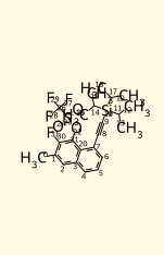 Cc1cc2cccc(C#C[Si](C(C)C)(C(C)C)C(C)C)c2c(OS(=O)(=O)C(F)(F)F)c1F